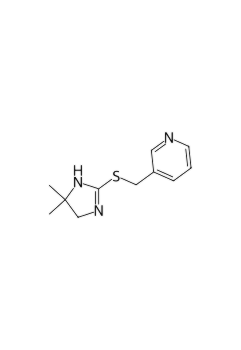 CC1(C)CN=C(SCc2cccnc2)N1